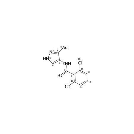 CC(=O)c1n[nH]cc1NC(=O)c1c(Cl)cccc1Cl